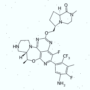 Cc1c(F)c(N)cc(-c2nc3c4c(nc(OC[C@H]5CC[C@H]6C(=O)N(C)CCN56)nc4c2F)N2CCNC[C@H]2[C@H](C)O3)c1C(F)(F)F